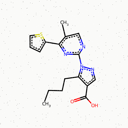 CCCCc1c(C(=O)O)cnn1-c1ncc(C)c(-c2cccs2)n1